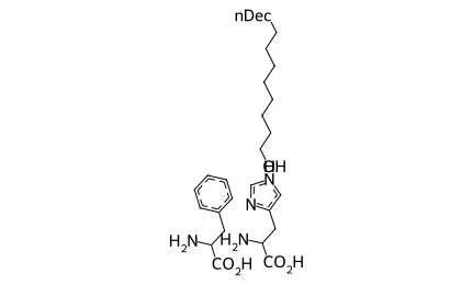 CCCCCCCCCCCCCCCCCCO.NC(Cc1c[nH]cn1)C(=O)O.NC(Cc1ccccc1)C(=O)O